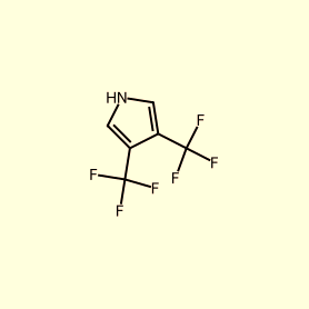 FC(F)(F)c1c[nH]cc1C(F)(F)F